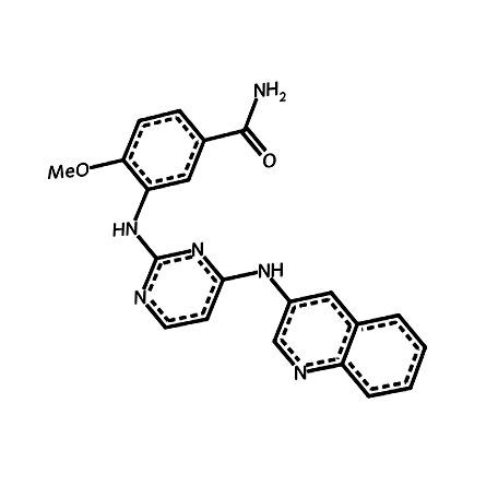 COc1ccc(C(N)=O)cc1Nc1nccc(Nc2cnc3ccccc3c2)n1